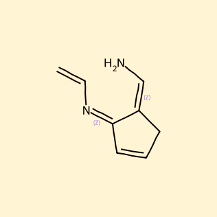 C=C/N=C1/C=CC/C1=C/N